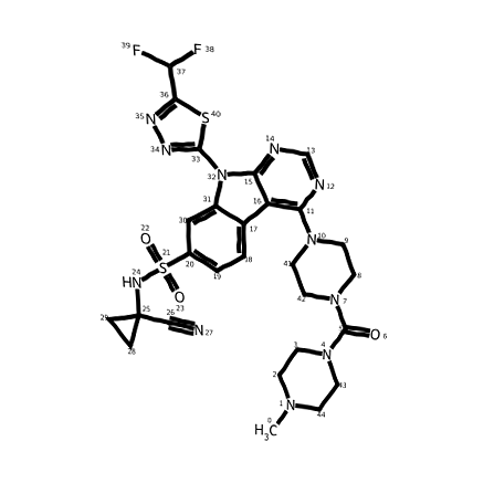 CN1CCN(C(=O)N2CCN(c3ncnc4c3c3ccc(S(=O)(=O)NC5(C#N)CC5)cc3n4-c3nnc(C(F)F)s3)CC2)CC1